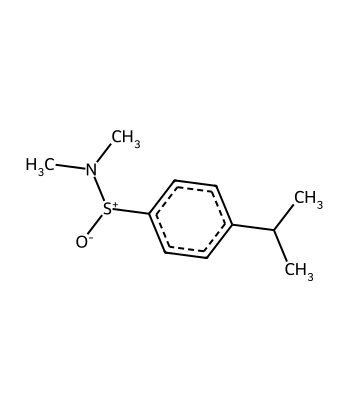 CC(C)c1ccc([S+]([O-])N(C)C)cc1